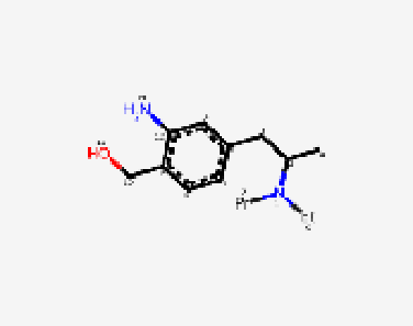 CCN(C(C)C)C(C)Cc1ccc(CO)c(N)c1